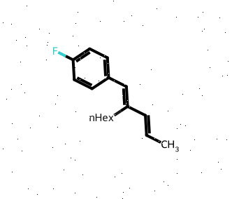 C/C=C/C(=C/c1ccc(F)cc1)CCCCCC